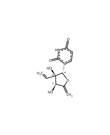 C=C[C@@]1(O)[C@H](O)C(=C)O[C@H]1n1ccc(=O)[nH]c1=O